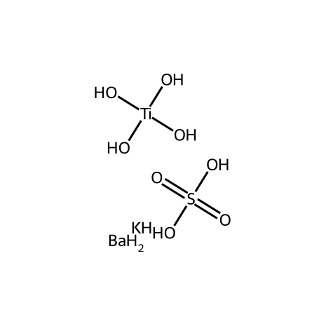 O=S(=O)(O)O.[BaH2].[KH].[OH][Ti]([OH])([OH])[OH]